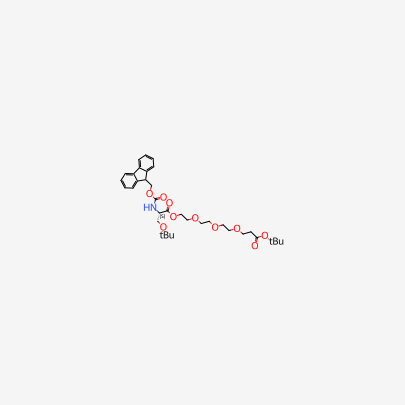 CC(C)(C)OC[C@H](NC(=O)OCC1c2ccccc2-c2ccccc21)C(=O)OCCOCCOCCOCCC(=O)OC(C)(C)C